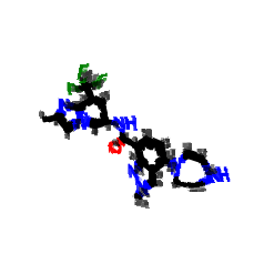 Cc1cn2cc(NC(=O)c3ccc(N4CCNCC4)c4cn(C)nc34)cc(C(F)(F)F)c2n1